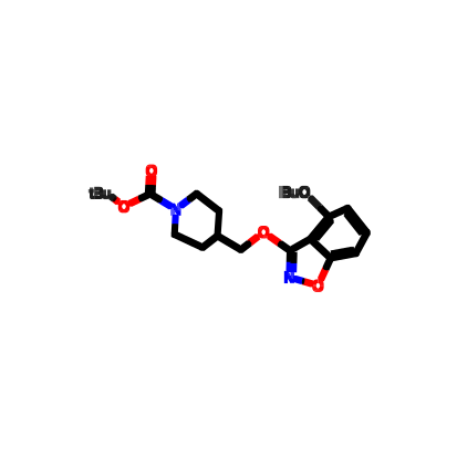 CC(C)COc1cccc2onc(OCC3CCN(C(=O)OC(C)(C)C)CC3)c12